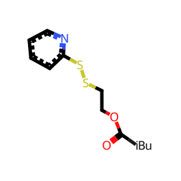 CCC(C)C(=O)OCCSSc1ccccn1